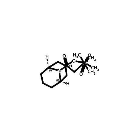 CC(C)(C)CC(=O)N1[C@@H]2CCC[C@H]1C[C@@H](OS(C)(=O)=O)C2